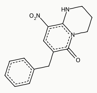 O=c1c(Cc2ccccc2)cc([N+](=O)[O-])c2n1CCCN2